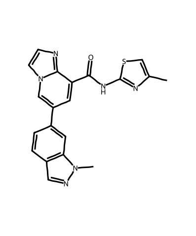 Cc1csc(NC(=O)c2cc(-c3ccc4cnn(C)c4c3)cn3ccnc23)n1